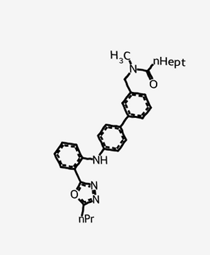 CCCCCCCC(=O)N(C)Cc1cccc(-c2ccc(Nc3ccccc3-c3nnc(CCC)o3)cc2)c1